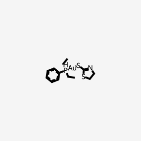 CC[PH](CC)([Au][S]C1=NCCS1)c1ccccc1